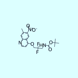 Cc1cc2nccc(OCC(F)(F)CNC(=O)OC(C)(C)C)c2cc1[N+](=O)[O-]